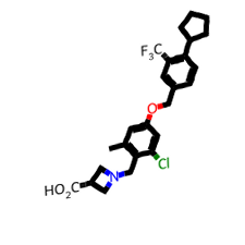 Cc1cc(OCc2ccc(C3CCCC3)c(C(F)(F)F)c2)cc(Cl)c1CN1CC(C(=O)O)C1